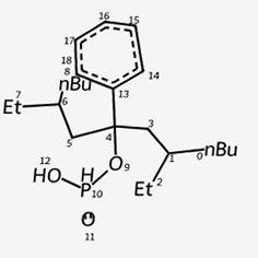 CCCCC(CC)CC(CC(CC)CCCC)(O[PH](=O)O)c1ccccc1